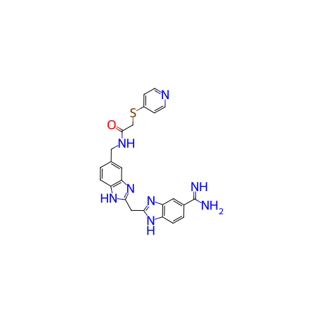 N=C(N)c1ccc2[nH]c(Cc3nc4cc(CNC(=O)CSc5ccncc5)ccc4[nH]3)nc2c1